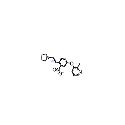 Cc1ncccc1Oc1ccc(/C=C/N2CCCC2)c([N+](=O)[O-])c1